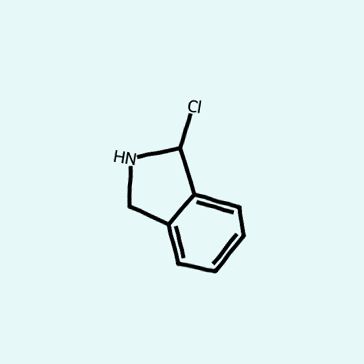 ClC1NCc2ccccc21